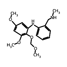 CNCc1ccccc1Pc1cc(OC)cc(OC)c1OCOC